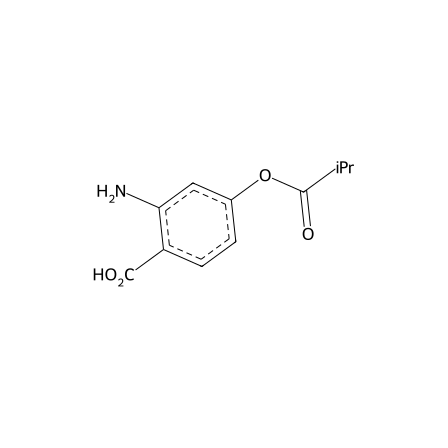 CC(C)C(=O)Oc1ccc(C(=O)O)c(N)c1